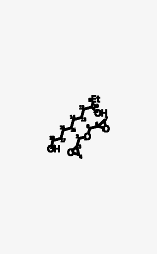 C(OCC1CO1)C1CO1.CCC(O)CCCCCCCO